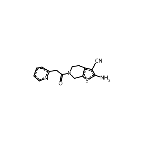 N#Cc1c(N)sc2c1CCN(C(=O)Cc1ccccn1)C2